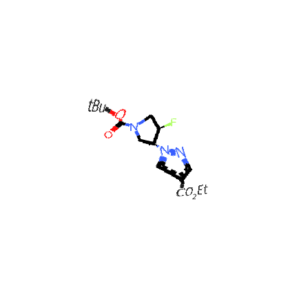 CCOC(=O)c1cnn([C@@H]2CN(C(=O)OC(C)(C)C)C[C@H]2F)c1